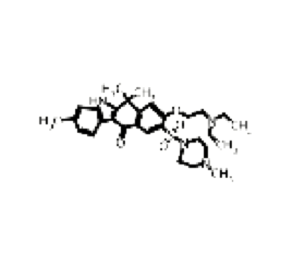 CCN(CC)CCOc1cc2c(cc1S(=O)(=O)N1CCN(C)CC1)C(=O)c1c([nH]c3cc(C)ccc13)C2(C)C